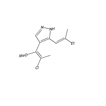 CC/C(C)=C/c1[nH]ncc1/C(OC)=C(\C)Cl